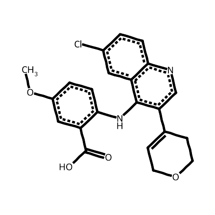 COc1ccc(Nc2c(C3=CCOCC3)cnc3ccc(Cl)cc23)c(C(=O)O)c1